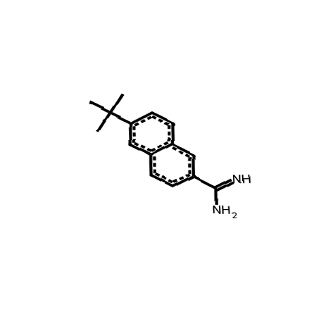 CC(C)(C)c1ccc2cc(C(=N)N)ccc2c1